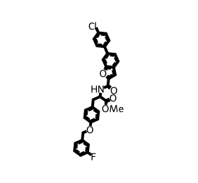 COC(=O)C(Cc1ccc(OCc2cccc(F)c2)cc1)NC(=O)c1cc2ccc(-c3ccc(Cl)cc3)cc2o1